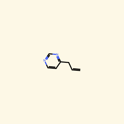 C=CCc1[c]cncn1